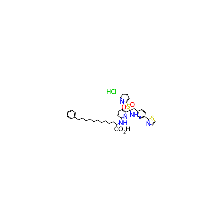 Cl.NC(Cc1ccc(-c2nccs2)cc1)(c1cccc(NC(CCCCCCCCCCc2ccccc2)C(=O)O)n1)S(=O)(=O)c1ccccn1